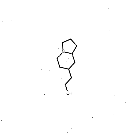 OCCC1CCN2CCCC2C1